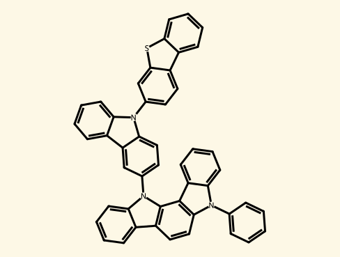 c1ccc(-n2c3ccccc3c3c2ccc2c4ccccc4n(-c4ccc5c(c4)c4ccccc4n5-c4ccc5c(c4)sc4ccccc45)c23)cc1